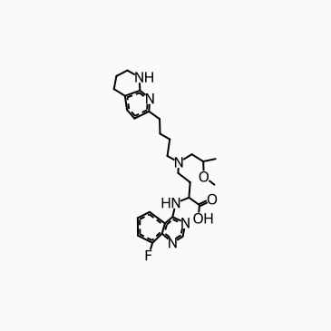 COC(C)CN(CCCCc1ccc2c(n1)NCCC2)CCC(Nc1ncnc2c(F)cccc12)C(=O)O